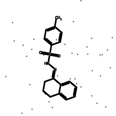 Cc1ccc(S(=O)(=O)NN=C2CCCc3ccccc32)cc1